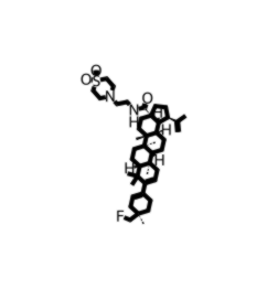 C=C(C)[C@@H]1CC[C@]2(C(=O)NCCN3CCS(=O)(=O)CC3)CC[C@]3(C)[C@H](CC[C@@H]4[C@@]5(C)CC=C(C6=CC[C@](C)(CF)CC6)C(C)(C)[C@@H]5CC[C@]43C)[C@@H]12